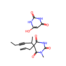 C=CCC1(C(C)C#CCC)C(=O)NC(=O)N(C)C1=O.O=c1cc(O)[nH]c(=O)[nH]1